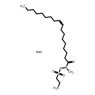 CCCCCCCC/C=C\CCCCCCCC(=O)N(C)OS(=O)(=O)CCN.[NaH]